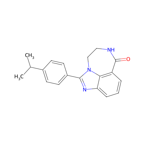 CC(C)c1ccc(-c2nc3cccc4c3n2CCNC4=O)cc1